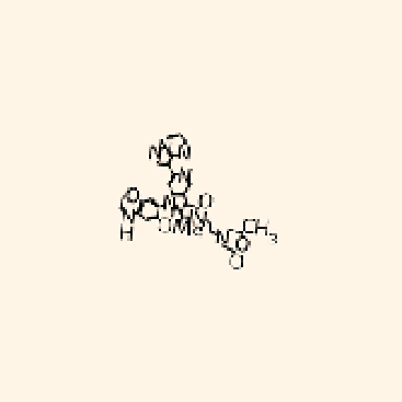 COc1cc2c(cc1-n1nc(C(=O)NCCN3CC(=O)OC(C)C3)c3cnc(-c4cnn5cccnc45)cc31)OCCN2